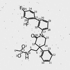 CS(=O)(=O)NCCC1(c2ccccc2)CCN(c2cccc(-c3ccc(F)cc3F)c2)C(=O)C1